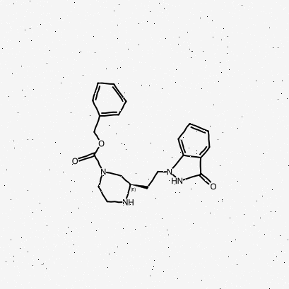 O=C(OCc1ccccc1)N1CCN[C@H](CCn2[nH]c(=O)c3ccccc32)C1